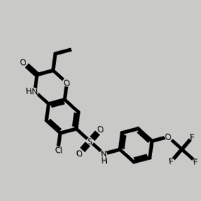 CCC1Oc2cc(S(=O)(=O)Nc3ccc(OC(F)(F)F)cc3)c(Cl)cc2NC1=O